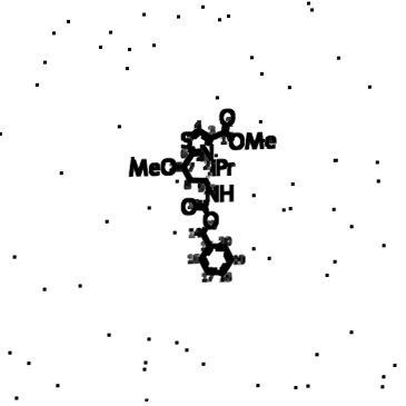 COC(=O)c1csc(C(C[C@@H](NC(=O)OCc2ccccc2)C(C)C)OC)n1